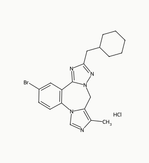 Cc1ncn2c1Cn1nc(CC3CCCCC3)nc1-c1cc(Br)ccc1-2.Cl